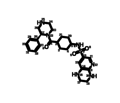 O=C(C1CCC(NS(=O)(=O)c2cnc3c(c2)NCCN3)CC1)N1CCNC[C@@H]1c1ccccc1